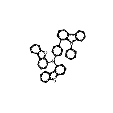 c1ccc(-n2c3ccccc3c3cccc(-c4ccc(N(c5cccc6c5oc5ccccc56)c5cccc6sc7ccccc7c56)cc4)c32)cc1